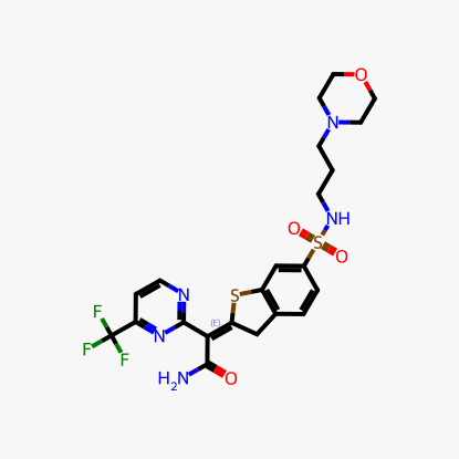 NC(=O)/C(=C1\Cc2ccc(S(=O)(=O)NCCCN3CCOCC3)cc2S1)c1nccc(C(F)(F)F)n1